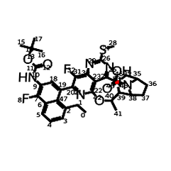 CCc1cccc2c(F)c(NC(=O)OC(C)(C)C)cc(-c3nc4c5c(nc(SC)nc5c3F)N3CC5CCC(C3C(C)O4)N5C(=O)O)c12